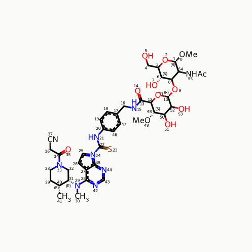 CO[C@@H]1OC(CO)[C@@H](O)C(O[C@@H]2OC(C(=O)NCc3ccc(NC(=S)n4ccc5c(N(C)[C@H]6CN(C(=O)CC#N)CC[C@H]6C)ncnc54)cc3)[C@@H](OC)C(O)C2O)C1NC(C)=O